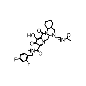 CC(=O)NCCN1CC2CCCCC2N2C(=O)c3c(O)c(=O)c(C(=O)NCc4ccc(F)cc4F)cn3CC12